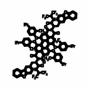 Cc1cc(C(C)C)ccc1Oc1cc2c3c(cc(Oc4ccc(C(C)C)cc4C)c4c5c(Oc6ccc(C(C)C)cc6C)cc6c7c(cc(Oc8ccc(C(C)C)cc8C)c(c1c34)c75)C(=O)N(C(Cc1ccc3oc4ccccc4c3c1)C(=O)NC(C(F)(F)F)C(F)(F)F)C6=O)C(=O)N(C(Cc1ccc3oc4ccccc4c3c1)C(=O)NC(C(F)(F)F)C(F)(F)F)C2=O